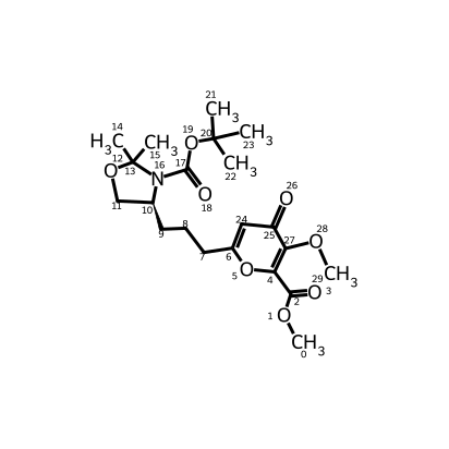 COC(=O)c1oc(CCC[C@H]2COC(C)(C)N2C(=O)OC(C)(C)C)cc(=O)c1OC